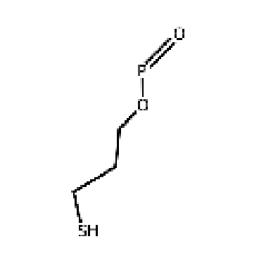 O=POCCCS